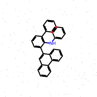 c1ccc(Nc2c(-c3ccccc3)cccc2-c2cc3ccccc3c3ccccc23)cc1